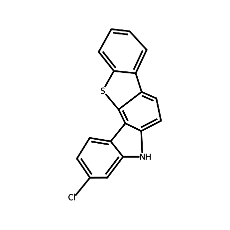 Clc1ccc2c(c1)[nH]c1ccc3c4ccccc4sc3c12